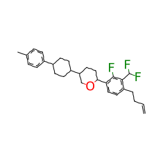 C=CCCc1ccc(C2CCC(C3CCC(c4ccc(C)cc4)CC3)CO2)c(F)c1C(F)F